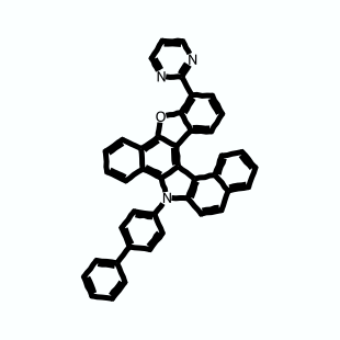 c1ccc(-c2ccc(-n3c4ccc5ccccc5c4c4c5c6cccc(-c7ncccn7)c6oc5c5ccccc5c43)cc2)cc1